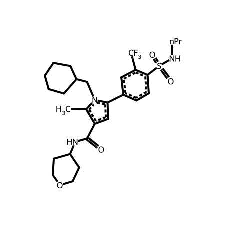 CCCNS(=O)(=O)c1ccc(-c2cc(C(=O)NC3CCOCC3)c(C)n2CC2CCCCC2)cc1C(F)(F)F